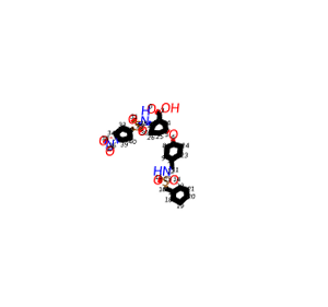 O=C(O)c1cc(Oc2ccc(CNS(=O)(=O)Cc3ccccc3)cc2)ccc1NS(=O)(=O)c1ccc([N+](=O)[O-])cc1